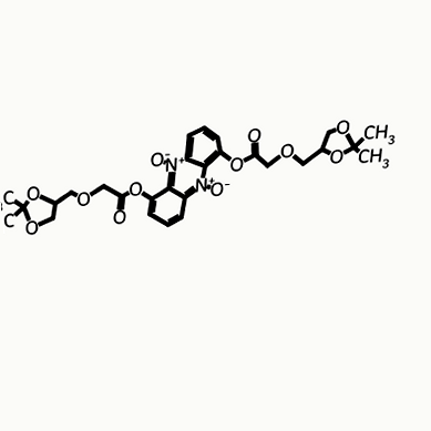 CC1(C)OCC(COCC(=O)Oc2cccc3c2[n+]([O-])c2cccc(OC(=O)COCC4COC(C)(C)O4)c2[n+]3[O-])O1